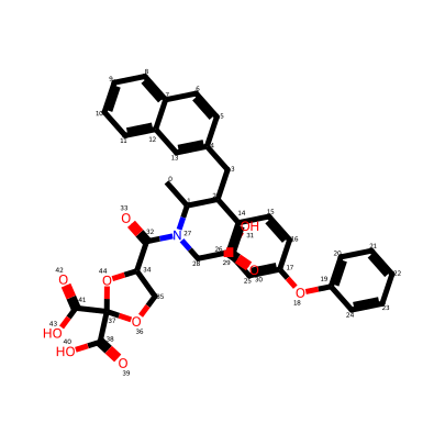 CC(C(Cc1ccc2ccccc2c1)c1ccc(Oc2ccccc2)cc1)N(CC(=O)O)C(=O)C1COC(C(=O)O)(C(=O)O)O1